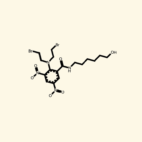 O=C(NCCCCCCO)c1cc([N+](=O)[O-])cc([N+](=O)[O-])c1N(CCBr)CCBr